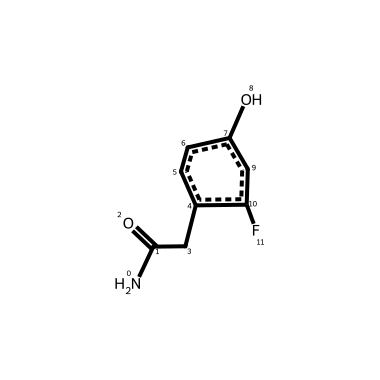 NC(=O)Cc1ccc(O)cc1F